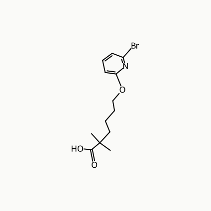 CC(C)(CCCCOc1cccc(Br)n1)C(=O)O